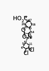 O=C1OC(c2ccc(Cl)c(Cl)c2)=N/C1=C/c1ccc(C(=O)O)cc1